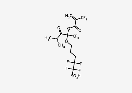 C=C(C(=O)OC(OCCCC(F)(F)C(F)(F)S(=O)(=O)O)(C(=O)N(C)C)C(F)(F)F)C(F)(F)F